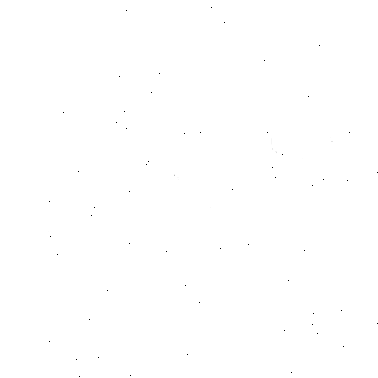 CCCCC(=O)Nc1ccc2oc(-c3ccc(C(F)(F)F)cc3)nc2c1